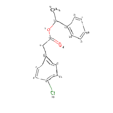 CC(OC(=O)Cc1ccc(Cl)cc1)c1ccccc1